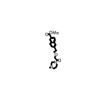 COC(=O)c1ccc2cc(CCOCC(=O)N3CCCN(C)CC3)ccc2c1